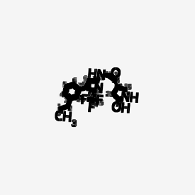 CCCc1cccc(-c2cc(NC3OC3[C@H]3CNC(O)C3)nn2C(F)(F)F)c1